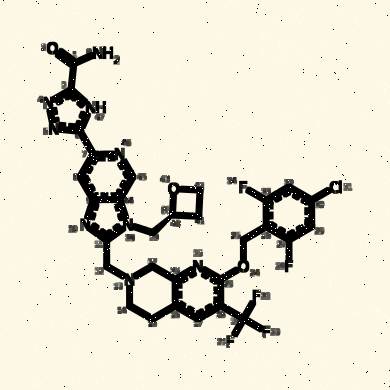 NC(=O)c1nnc(-c2cc3nc(CN4CCc5cc(C(F)(F)F)c(OCc6c(F)cc(Cl)cc6F)nc5C4)n(C[C@@H]4CCO4)c3cn2)[nH]1